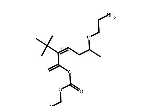 C=C(OC(=O)OCI)/C(=C\CC(C)OCCN)C(C)(C)C